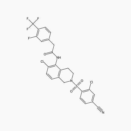 N#Cc1ccc(S(=O)(=O)N2CCc3c(ccc(Cl)c3NC(=O)Cc3ccc(C(F)(F)F)c(F)c3)C2)c(Cl)c1